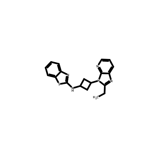 CCc1nc2cccnc2n1C1CC(Nc2nc3ccccc3s2)C1